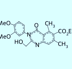 CCOC(=O)c1c(C)cc2nc(CO)n(-c3ccc(OC)c(OC)c3)c(=O)c2c1C